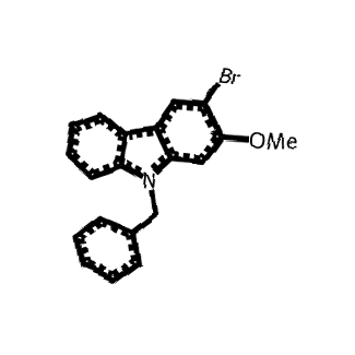 COc1cc2c(cc1Br)c1ccccc1n2Cc1ccccc1